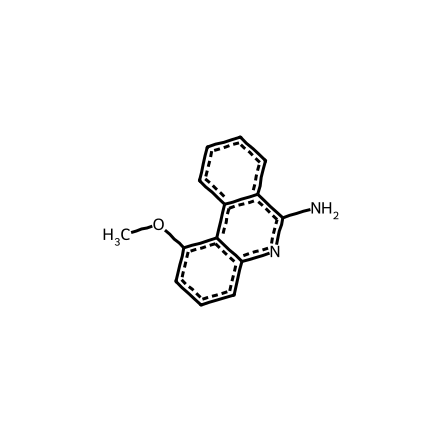 COc1cccc2nc(N)c3ccccc3c12